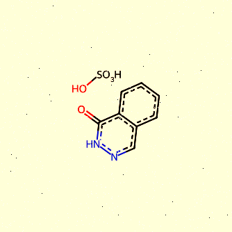 O=S(=O)(O)O.O=c1[nH]ncc2ccccc12